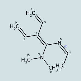 C=CC(C=C)=C(/N=C\C)N(C)C